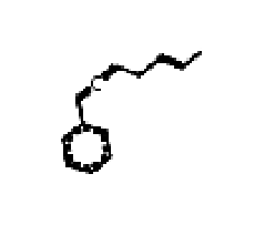 CC=CCC=C=Cc1ccccc1